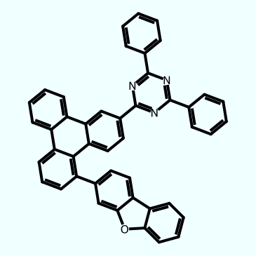 c1ccc(-c2nc(-c3ccccc3)nc(-c3ccc4c(c3)c3ccccc3c3cccc(-c5ccc6c(c5)oc5ccccc56)c34)n2)cc1